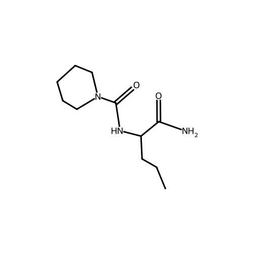 CCCC(NC(=O)N1CCCCC1)C(N)=O